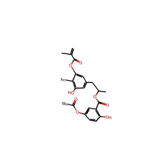 C=C(C)C(=O)Oc1cc(CC(C)OC(=O)c2cc(OC(=O)C(C)(C)C)ccc2O)cc(O)c1C(C)=O